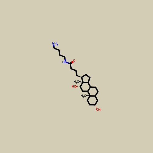 C[C@]12CC[C@@H](O)CC1CCC1C2C[C@H](O)[C@@]2(C)C1CC[C@@H]2CCCC(=O)NCCCCN